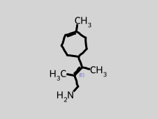 CC1=CCCC(/C(C)=C(\C)CN)CC1